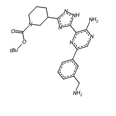 CC(C)(C)OC(=O)N1CCCC(c2n[nH]c(-c3nc(-c4cccc(CN)c4)cnc3N)n2)C1